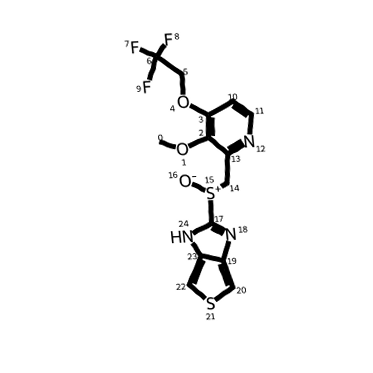 COc1c(OCC(F)(F)F)ccnc1C[S+]([O-])c1nc2cscc2[nH]1